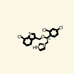 Clc1ccc([C@@H](CN2C=CNC2)OCc2csc3c(Cl)cccc23)c(Cl)c1